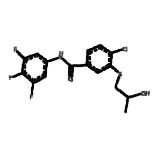 CC(O)CSc1cc(C(=O)Nc2cc(F)c(F)c(F)c2)ccc1Cl